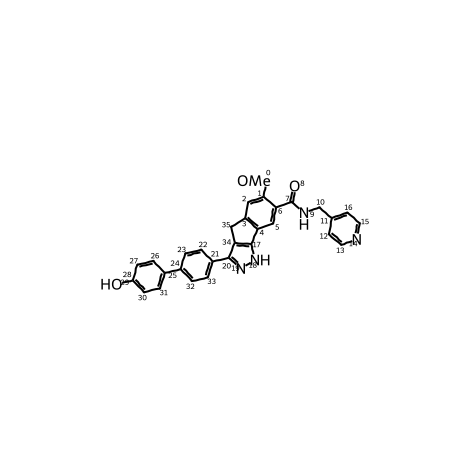 COc1cc2c(cc1C(=O)NCc1ccncc1)-c1[nH]nc(-c3ccc(-c4ccc(O)cc4)cc3)c1C2